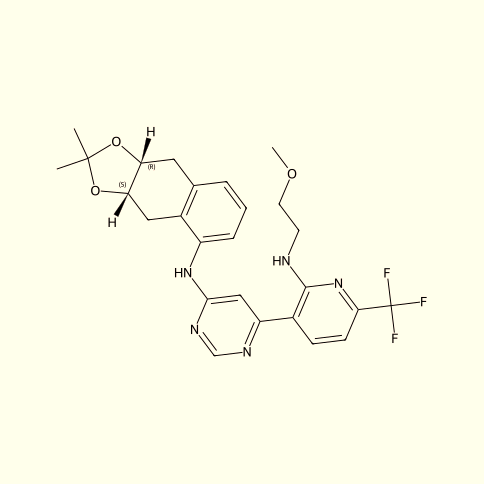 COCCNc1nc(C(F)(F)F)ccc1-c1cc(Nc2cccc3c2C[C@@H]2OC(C)(C)O[C@@H]2C3)ncn1